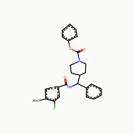 COc1ccc(C(=O)NC(c2ccccc2)C2CCN(C(=O)Oc3ccccc3)CC2)cc1F